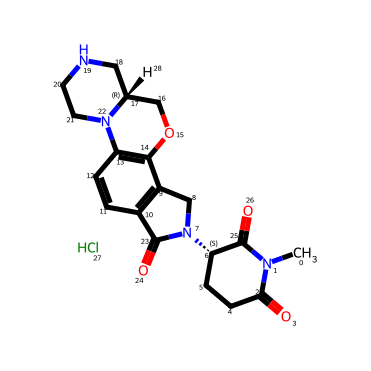 CN1C(=O)CC[C@H](N2Cc3c(ccc4c3OC[C@H]3CNCCN43)C2=O)C1=O.Cl